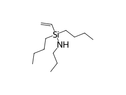 C=C[Si](CCCC)(CCCC)NCCC